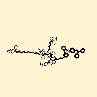 O=C(O)CCCCCCCCCCCN1C(=O)/C(=c2\s/c(=c3/sc(=CC=Cc4ccc5c(c4)C4CCCC4N5c4ccc(C=C(c5ccccc5)c5ccccc5)cc4)c(=O)n3CC(=O)O)c(=O)n2CCCCCC(=O)O)SC1=S